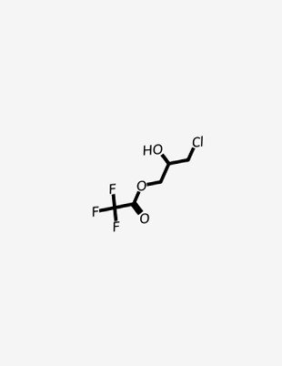 O=C(OCC(O)CCl)C(F)(F)F